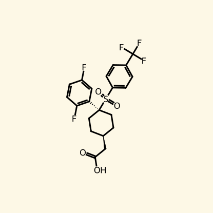 O=C(O)C[C@H]1CC[C@@](c2cc(F)ccc2F)(S(=O)(=O)c2ccc(C(F)(F)F)cc2)CC1